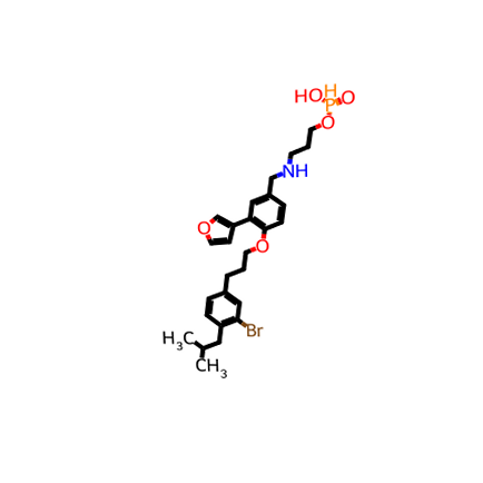 CC(C)Cc1ccc(CCCOc2ccc(CNCCCO[PH](=O)O)cc2-c2ccoc2)cc1Br